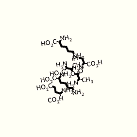 CC(C)C[C@H](N)C(=O)O.C[C@H](N)C(=O)O[C@H](C)[C@H](N)C(=O)O.NCCCC[C@H](N)C(=O)O.NCCCC[C@H](N)C(=O)O.N[C@@H](CCC(=O)O)C(=O)O